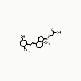 C=C1CCC(O)CC1=CC=C1CCC[C@]2(C)C(=NOCC(=O)O)CCC12